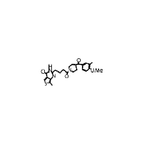 COc1ccc(C(=O)C2CCN(C(=O)CCCc3nc4c(C)scc4c(=O)[nH]3)CC2)cc1C